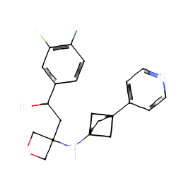 OC(CC1(NC23CC(c4ccncc4)(C2)C3)COC1)c1ccc(Cl)c(F)c1